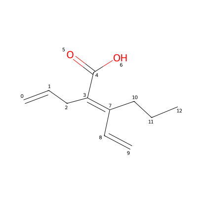 C=CCC(C(=O)O)=C(C=C)CCC